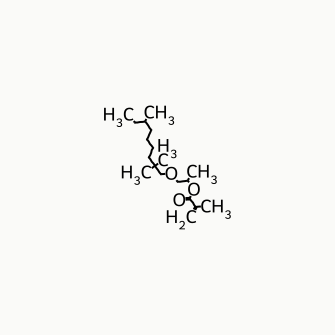 C=C(C)C(=O)OC(C)COCC(C)(C)CCCCC(C)CC